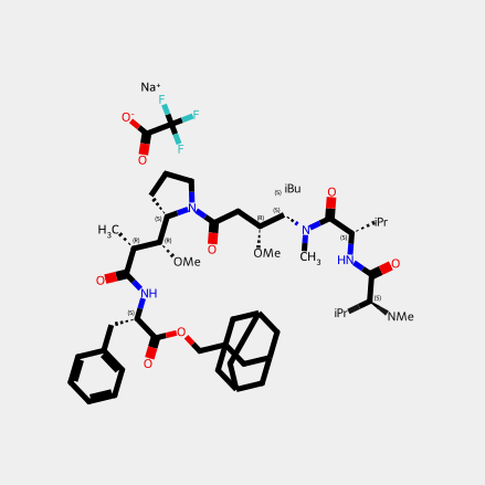 CC[C@H](C)[C@@H]([C@@H](CC(=O)N1CCC[C@H]1[C@H](OC)[C@@H](C)C(=O)N[C@@H](Cc1ccccc1)C(=O)OCC12CC3CC(CC(C3)C1)C2)OC)N(C)C(=O)[C@@H](NC(=O)[C@@H](NC)C(C)C)C(C)C.O=C([O-])C(F)(F)F.[Na+]